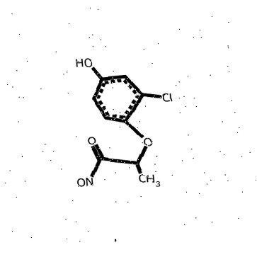 CC(Oc1ccc(O)cc1Cl)C(=O)N=O